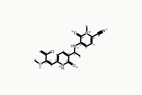 C=C(Cl)/C(=C\c1ccc(C(C)Nc2ccc(C#N)n(C)c2=O)c(=O)[nH]1)OC